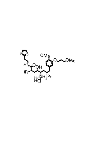 COCCCOc1cc(C[C@@H](C[C@H](N)[C@@H](O)C[C@H](C(=O)NCCc2nccs2)C(C)C)C(C)C)ccc1OC.Cl.Cl